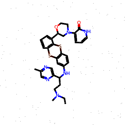 CCN(C)CCC(Nc1ccc2c(c1)Sc1cccc(C3CN(c4ccc[nH]c4=O)CCO3)c1S2)c1cnc(C)cn1